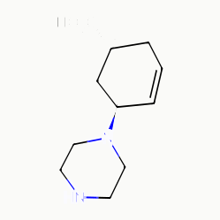 O=C(O)[C@@H]1CC=C[C@@H](N2CCNCC2)C1